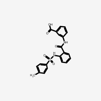 Cc1ccc(S(=O)(=O)Nc2ccccc2C(=O)Nc2cccc(C(=O)O)c2)cc1